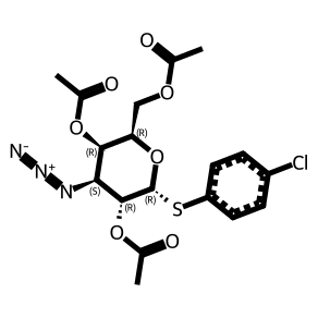 CC(=O)OC[C@H]1O[C@H](Sc2ccc(Cl)cc2)[C@H](OC(C)=O)[C@@H](N=[N+]=[N-])[C@H]1OC(C)=O